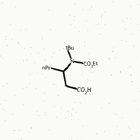 CCCC(CC(=O)O)N(C(=O)OCC)C(C)(C)C